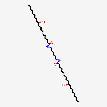 CCCCCC=CCC=C(O)CC=CCC=CCCCC(=O)NCCCCCCNC(=O)CCCC=CCC=CCC(O)=CCC=CCCCCC